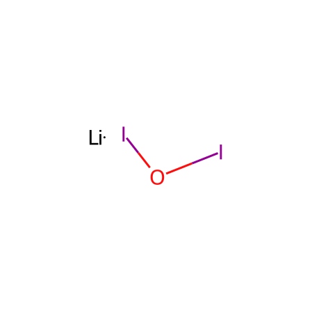 IOI.[Li]